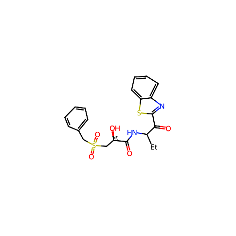 CCC(NC(=O)[C@H](O)CS(=O)(=O)Cc1ccccc1)C(=O)c1nc2ccccc2s1